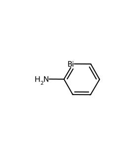 N[C]1=[Bi][CH]=CC=C1